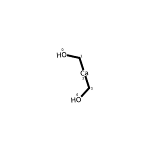 O[CH2][Ca][CH2]O